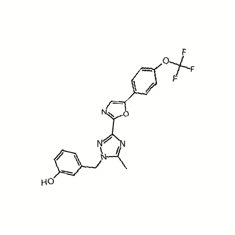 Cc1nc(-c2ncc(-c3ccc(OC(F)(F)F)cc3)o2)nn1Cc1cccc(O)c1